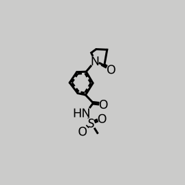 CS(=O)(=O)NC(=O)c1cccc(N2CCCC2=O)c1